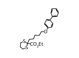 CCOC(=O)C1(CCCCCOc2ccc(-c3ccccc3)cc2)SCCCS1